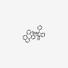 c1ccc(C2NC(c3ccc4c5c3sc3cccc(c35)-c3cccc5cccc-4c35)Nc3ccccc32)cc1